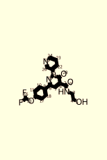 O=C(NCCO)c1cc(-c2ccc(OC(F)F)cc2)nn(-c2cccnc2)c1=O